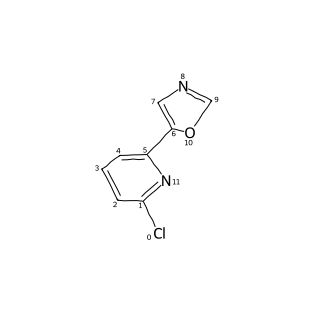 Clc1cccc(-c2cnco2)n1